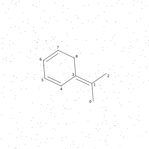 CC(C)=C1C=CC=CC1